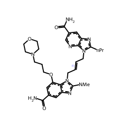 CCCc1nc2cc(C(N)=O)cnc2n1C/C=C/Cn1c(NC)nc2cc(C(N)=O)cc(OCCCN3CCOCC3)c21